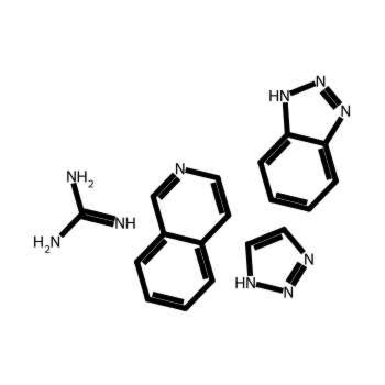 N=C(N)N.c1c[nH]nn1.c1ccc2[nH]nnc2c1.c1ccc2cnccc2c1